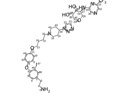 NCCc1ccc(Oc2ccc(OCCCCN3CCC(n4cc([C@H]5OC[C@H](Nc6cncc(C(F)(F)F)n6)[C@@H](O)[C@H]5O)nn4)CC3)cc2)c(I)c1